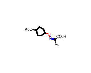 CC(=O)OC1CCC(ON=C(C(C)=O)C(=O)O)CC1